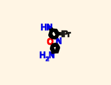 CC(C)c1cc(=N)cc2oc3cc(N)ccc3nc1-2